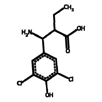 CCC(C(=O)O)C(N)c1cc(Cl)c(O)c(Cl)c1